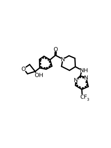 O=C(c1ccc(C2(O)COC2)cc1)N1CCC(Nc2ncc(C(F)(F)F)cn2)CC1